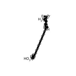 CCCN(OCC)C(=O)C1=Cc2ccc(-c3cnc(C(=O)N4CCC[C@@H]4C(=O)NCCOCCOCCOCCOCCOCCOCCOCCOCCOCCOCCC(=O)Oc4c(F)c(F)c(S(=O)(=O)O)c(F)c4F)nc3)cc2N=C(N)C1